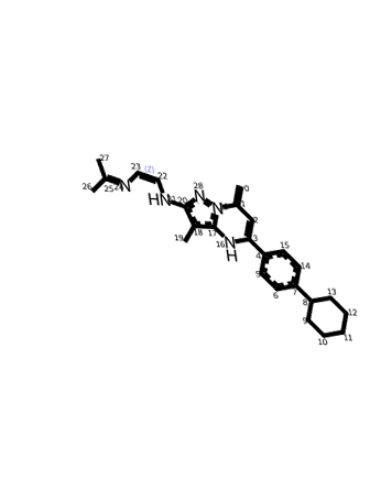 C=C1C=C(c2ccc(C3CCCCC3)cc2)Nc2c(C)c(N/C=C\N=C(C)C)nn21